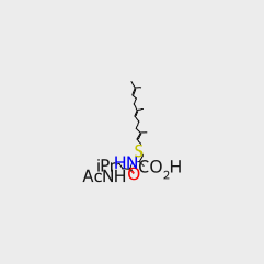 CC(=O)NC(CC(C)C)C(=O)NC(CSC/C=C(\C)CC/C=C(\C)CCC=C(C)C)C(=O)O